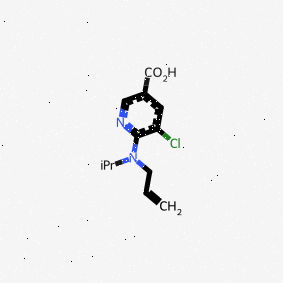 C=CCN(c1ncc(C(=O)O)cc1Cl)C(C)C